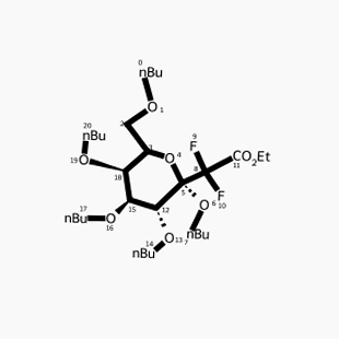 CCCCOCC1O[C@@](OCCCC)(C(F)(F)C(=O)OCC)[C@H](OCCCC)[C@@H](OCCCC)[C@H]1OCCCC